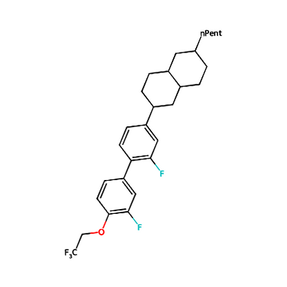 CCCCCC1CCC2CC(c3ccc(-c4ccc(OCC(F)(F)F)c(F)c4)c(F)c3)CCC2C1